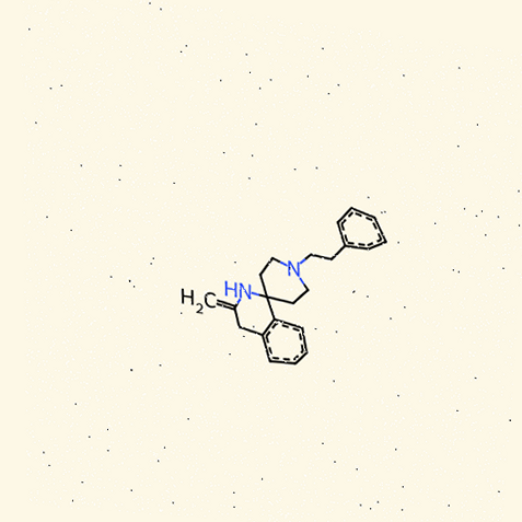 C=C1Cc2ccccc2C2(CCN(CCc3ccccc3)CC2)N1